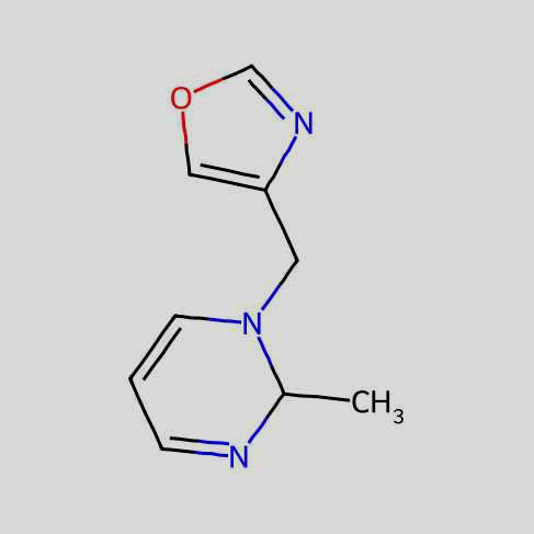 CC1N=CC=CN1Cc1cocn1